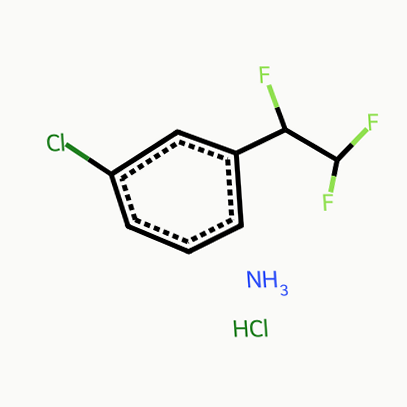 Cl.FC(F)C(F)c1cccc(Cl)c1.N